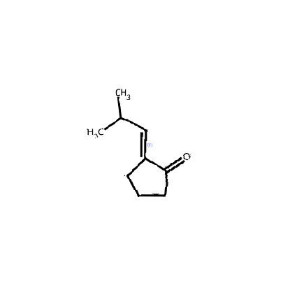 CC(C)/C=C1\[CH]CCC1=O